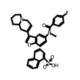 CN(C(=O)c1ccc(F)cc1)c1ccc2occ(C3=CCN4CCCCC4C3)c2c1.O=S(=O)(O)c1cccc2ccccc12